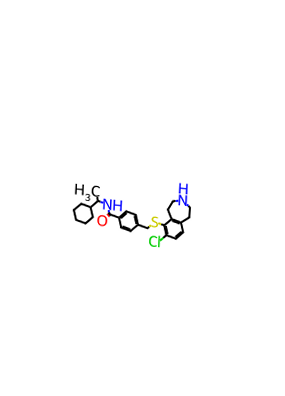 CC(NC(=O)c1ccc(CSc2c(Cl)ccc3c2CCNCC3)cc1)C1CCCCC1